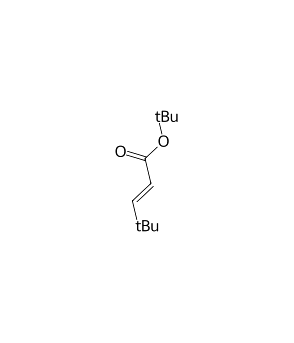 CC(C)(C)/C=C/C(=O)OC(C)(C)C